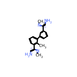 C=N/C(=C\N)c1cccc(-c2cccc(/C(=C/N)N=C)c2C)c1